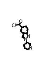 O=C(Cl)c1ccc2nn(-c3cccnc3)cc2c1